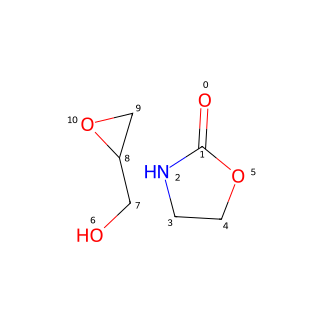 O=C1NCCO1.OCC1CO1